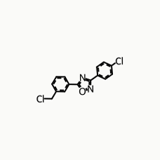 ClCc1cccc(-c2nc(-c3ccc(Cl)cc3)no2)c1